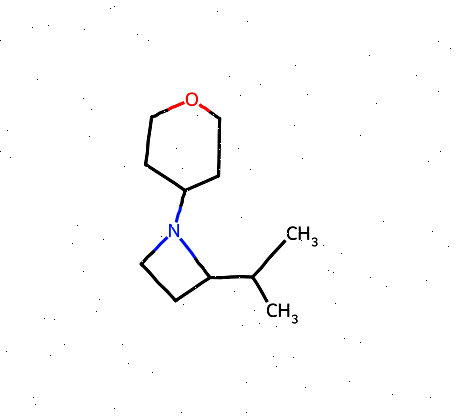 CC(C)C1CCN1C1CCOCC1